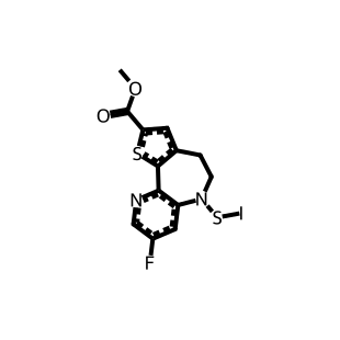 COC(=O)c1cc2c(s1)-c1ncc(F)cc1N(SI)CC2